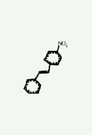 O=[N+]([O-])c1ccc(C=Cc2cc[c]cc2)cc1